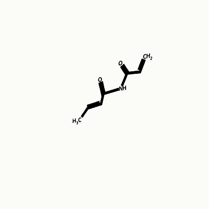 C=CC(=O)NC(=O)C=CC